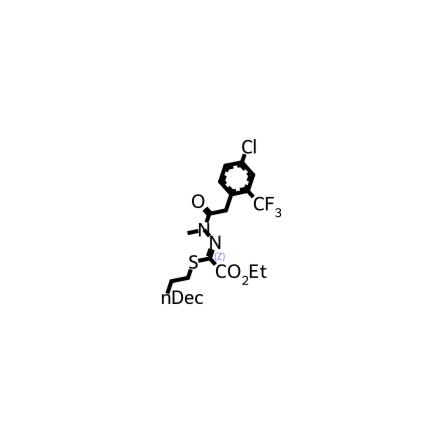 CCCCCCCCCCCCS/C(=N\N(C)C(=O)Cc1ccc(Cl)cc1C(F)(F)F)C(=O)OCC